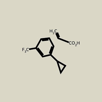 C=CC(=O)O.FC(F)(F)c1cccc(C2CC2)c1